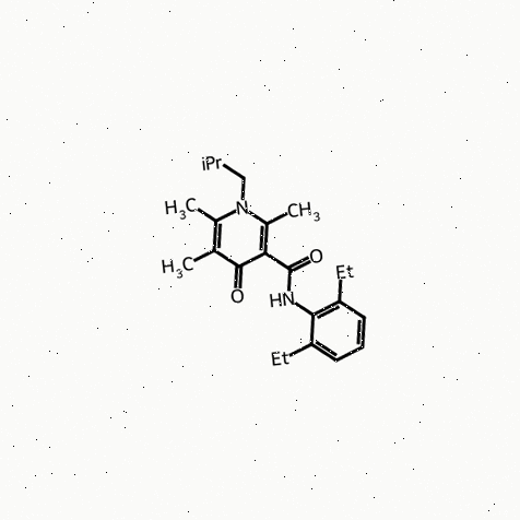 CCc1cccc(CC)c1NC(=O)c1c(C)n(CC(C)C)c(C)c(C)c1=O